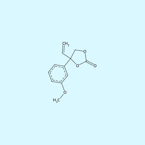 C=CC1(c2cccc(OC)c2)COC(=O)O1